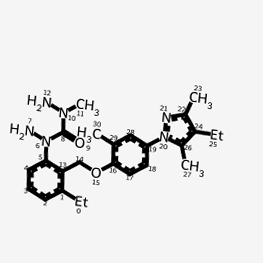 CCc1cccc(N(N)C(=O)N(C)N)c1COc1ccc(-n2nc(C)c(CC)c2C)cc1C